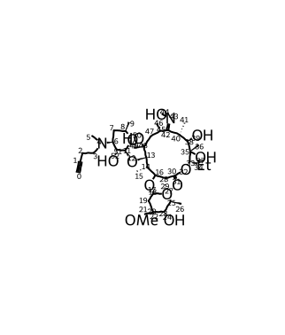 C#CCCN(C)[C@H]1C[C@@H](C)O[C@@H](O[C@@H]2[C@@H](C)C(O[C@H]3C[C@@](C)(OC)[C@@H](O)[C@H](C)O3)[C@@H](C)C(=O)O[C@H](CC)[C@@](C)(O)[C@H](O)[C@@H](C)/C(=N/O)[C@H](C)C[C@@]2(C)O)[C@@H]1O